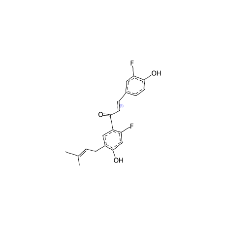 CC(C)=CCc1cc(C(=O)/C=C/c2ccc(O)c(F)c2)c(F)cc1O